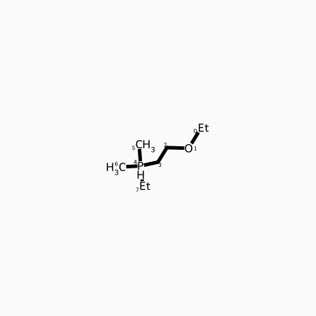 CCOCC[PH](C)(C)CC